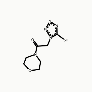 O=C(Cn1nnnc1S)N1CCOCC1